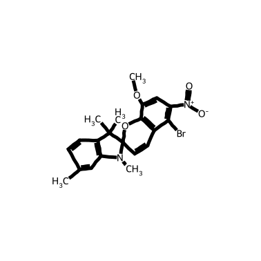 COc1cc([N+](=O)[O-])c(Br)c2c1OC1(C=C2)N(C)c2cc(C)ccc2C1(C)C